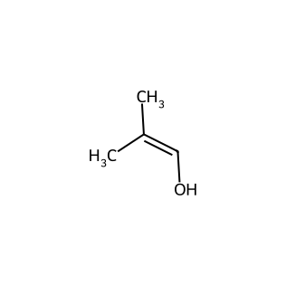 CC(C)=CO